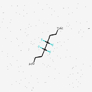 CC(=O)OCCC(F)(F)C(F)(F)CCOC(C)=O